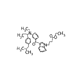 CCOC(=O)CCCn1cc(C(=O)c2cccc(N(CC)C(CC)c3ccc(CC(C)C)cc3)c2)c2ccccc21